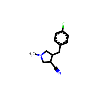 CN1CC(C#N)C(Cc2ccc(Cl)cc2)C1